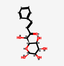 O=C(C=Cc1ccccc1)C(O)[C@H]1O[C@@H](O)[C@H](O)[C@@H](O)[C@@H]1O